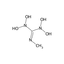 CN=C(N(O)O)N(O)O